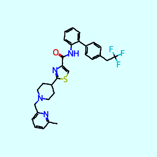 Cc1cccc(CN2CCC(c3nc(C(=O)Nc4ccccc4-c4ccc(CC(F)(F)F)cc4)cs3)CC2)n1